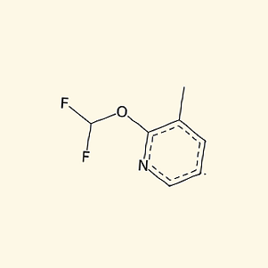 Cc1c[c]cnc1OC(F)F